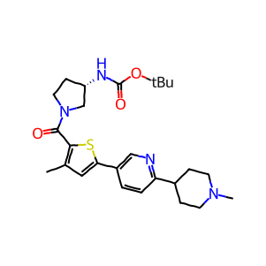 Cc1cc(-c2ccc(C3CCN(C)CC3)nc2)sc1C(=O)N1CC[C@H](NC(=O)OC(C)(C)C)C1